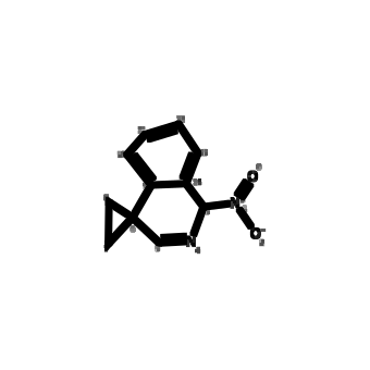 O=[N+]([O-])C1N=CC2(CC2)c2ccccc21